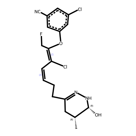 C[C@@H]1CC(CC/C=C\C(Cl)=C(/CF)Oc2cc(Cl)cc(C#N)c2)=NN[C@@H]1O